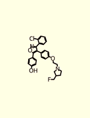 Oc1ccc(-c2onc(-c3ccccc3Cl)c2-c2ccc(OCCN3CCC(CF)C3)cc2)cc1